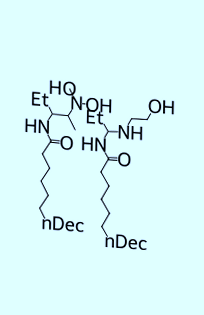 CCCCCCCCCCCCCCCC(=O)NC(CC)C(C)N(O)O.CCCCCCCCCCCCCCCC(=O)NC(CC)NCCO